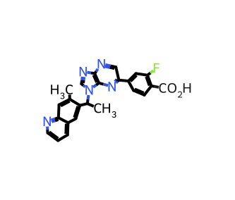 Cc1cc2ncccc2cc1C(C)n1cnc2ncc(-c3ccc(C(=O)O)c(F)c3)nc21